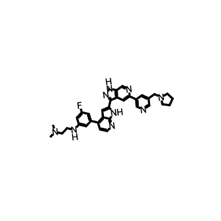 CN(C)CCNc1cc(F)cc(-c2ccnc3[nH]c(-c4n[nH]c5cnc(-c6cncc(CN7CCCC7)c6)cc45)cc23)c1